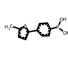 Cc1ccc(-c2ccc(P(O)O)cc2)s1